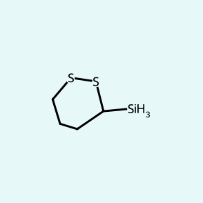 [SiH3]C1CCCSS1